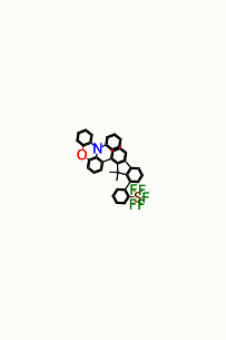 CC1(C)c2c(-c3ccccc3S(F)(F)(F)(F)F)cccc2-c2cccc(-c3cccc4c3N(c3ccccc3)c3ccccc3O4)c21